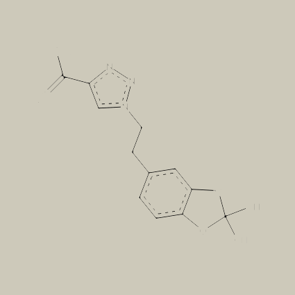 C=C(C)c1cn(CCc2ccc3c(c2)OC(C)(C)O3)nn1